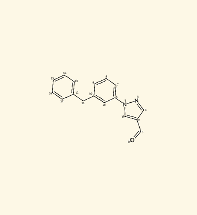 O=Cc1cnn(-c2cccc(Cc3ccccc3)c2)c1